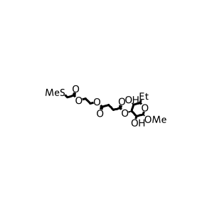 CCC1O[C@H](OC)C(O)[C@@H](OC(=O)CCC(=O)OCCOC(=O)CSC)[C@@H]1O